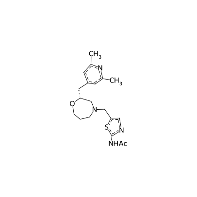 CC(=O)Nc1ncc(CN2CCCO[C@H](Cc3cc(C)nc(C)c3)C2)s1